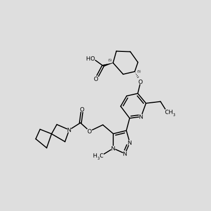 CCc1nc(-c2nnn(C)c2COC(=O)N2CC3(CCC3)C2)ccc1O[C@H]1CCC[C@H](C(=O)O)C1